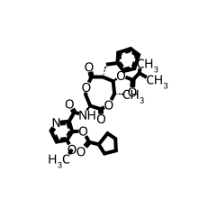 COc1ccnc(C(=O)N[C@H]2COC(=O)[C@H](Cc3ccccc3)[C@@H](OC(=O)C(C)C)[C@H](C)OC2=O)c1OC(=O)C1CCCC1